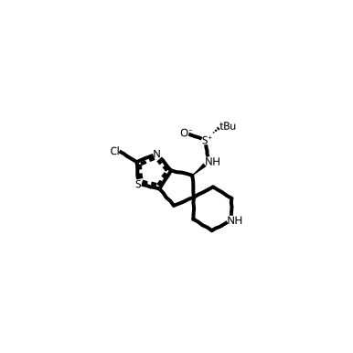 CC(C)(C)[S@@+]([O-])N[C@@H]1c2nc(Cl)sc2CC12CCNCC2